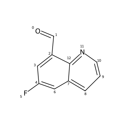 O=Cc1cc(F)cc2cccnc12